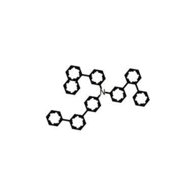 c1ccc(-c2cccc(-c3ccc(N(c4cccc(-c5ccccc5-c5ccccc5)c4)c4cccc(-c5cccc6ccccc56)c4)cc3)c2)cc1